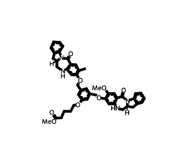 COC(=O)CCCCOc1cc(COc2cc3c(cc2C)C(=O)N2c4ccccc4C[C@H]2CN3)cc(COc2cc3c(cc2OC)C(=O)N2c4ccccc4C[C@H]2CN3)c1